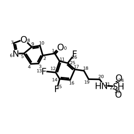 O=C(c1ccc2ncoc2c1)c1c(F)c(F)cc(CCCN[SH](=O)=O)c1F